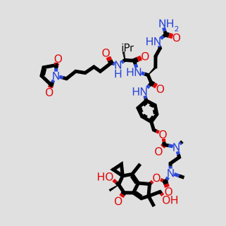 CC1=C2C(=CC(C)(CO)C2OC(=O)N(C)CCN(C)C(=O)OCc2ccc(NC(=O)[C@H](CCCNC(N)=O)NC(=O)[C@@H](NC(=O)CCCCCN3C(=O)C=CC3=O)C(C)C)cc2)C(=O)[C@](C)(O)C12CC2